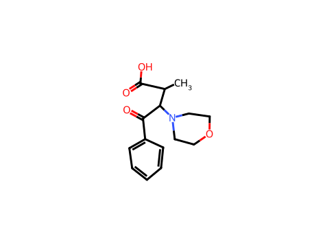 CC(C(=O)O)C(C(=O)c1ccccc1)N1CCOCC1